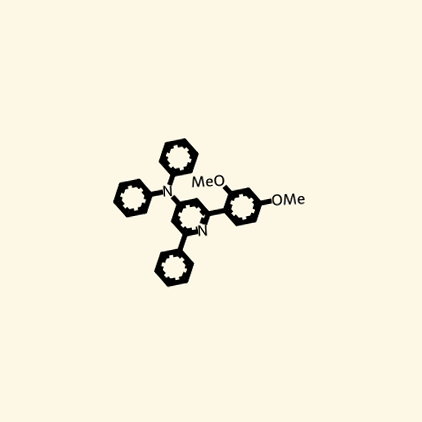 COc1ccc(-c2cc(N(c3ccccc3)c3ccccc3)cc(-c3ccccc3)n2)c(OC)c1